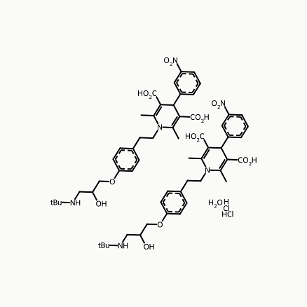 CC1=C(C(=O)O)C(c2cccc([N+](=O)[O-])c2)C(C(=O)O)=C(C)N1CCc1ccc(OCC(O)CNC(C)(C)C)cc1.CC1=C(C(=O)O)C(c2cccc([N+](=O)[O-])c2)C(C(=O)O)=C(C)N1CCc1ccc(OCC(O)CNC(C)(C)C)cc1.Cl.Cl.O